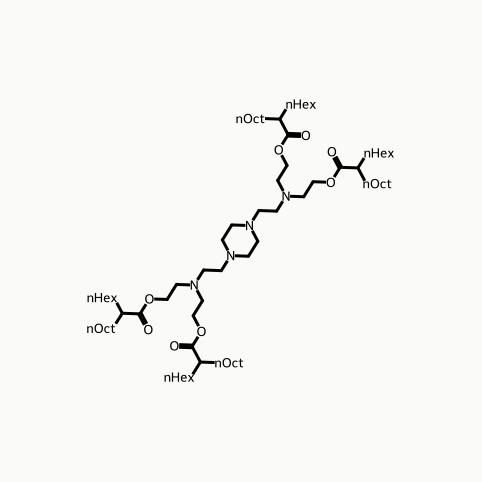 CCCCCCCCC(CCCCCC)C(=O)OCCN(CCOC(=O)C(CCCCCC)CCCCCCCC)CCN1CCN(CCN(CCOC(=O)C(CCCCCC)CCCCCCCC)CCOC(=O)C(CCCCCC)CCCCCCCC)CC1